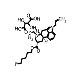 C=CCn1cc2c3c(cccc31)[C@H]1C[C@@H](C(=O)OCCCCCF)CN(CC)[C@@H]1C2.O=C(O)C(O)C(O)C(=O)O